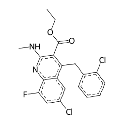 CCOC(=O)c1c(NC)nc2c(F)cc(Cl)cc2c1Cc1ccccc1Cl